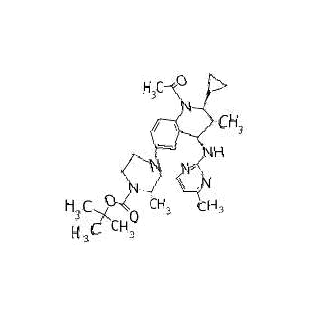 CC(=O)N1c2ccc(N3CCN(C(=O)OC(C)(C)C)[C@@H](C)C3)cc2[C@H](Nc2nccc(C)n2)[C@@H](C)[C@@H]1C1CC1